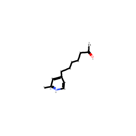 CCC(=O)CCCCCc1ccnc(C)c1